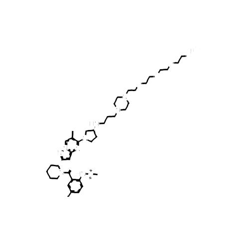 CCCOCCOCCOCCOCCN1CCN(CCCN[C@H]2CCN(c3nc4cc([C@H]5CCCCN5C(=O)c5cc(Cl)ccc5NS(C)(=O)=O)nn4cc3C)C2)CC1